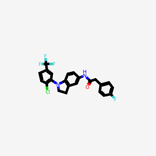 O=C(Cc1ccc(F)cc1)Nc1ccc2c(c1)CCN2c1cc(C(F)(F)F)ccc1Cl